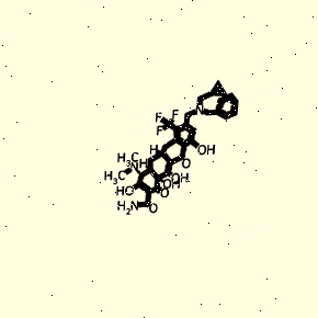 CN(C)[C@@H]1C(O)=C(C(N)=O)C(=O)[C@@]2(O)C(O)=C3C(=O)c4c(O)cc(CN(Cc5ccccc5)CC5CC5)c(C(F)(F)F)c4C[C@H]3C[C@@H]12